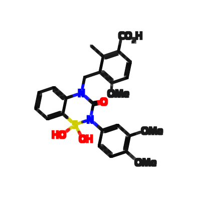 COc1ccc(N2C(=O)N(Cc3c(OC)ccc(C(=O)O)c3C)c3ccccc3S2(O)O)cc1OC